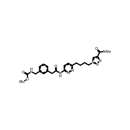 CNC(=O)c1cn(CCCCc2ccc(NC(=O)Cc3cccc(CNC(=O)OC(C)(C)C)c3)nn2)nn1